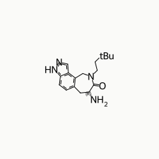 CC(C)(C)CCN1Cc2c(ccc3[nH]ncc23)C[C@@H](N)C1=O